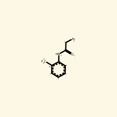 CC(=O)CC(=O)Nc1ccccc1C(F)(F)F